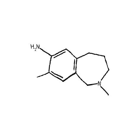 Cc1cc2c(cc1N)CCCN(C)C2